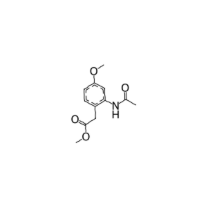 COC(=O)Cc1ccc(OC)cc1NC(C)=O